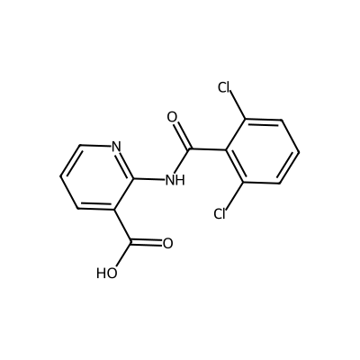 O=C(O)c1cccnc1NC(=O)c1c(Cl)cccc1Cl